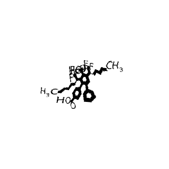 CCCCCC[C@H](c1cc(-c2ccccc2)c(-c2ccc(C(=O)O)cc2)c([C@@H](CCCCCC)C(F)(F)F)c1C(=O)O)C(F)(F)F